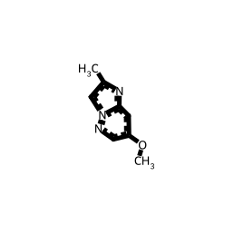 COc1cnn2cc(C)nc2c1